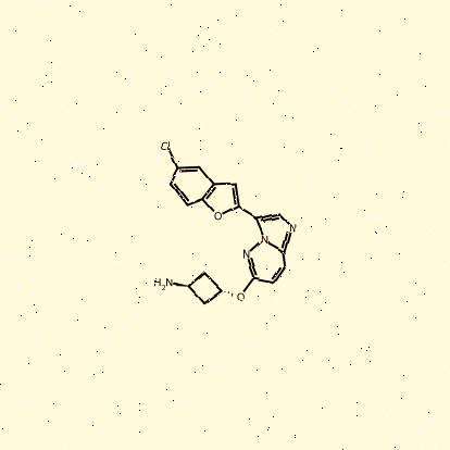 N[C@H]1C[C@H](Oc2ccc3ncc(-c4cc5cc(Cl)ccc5o4)n3n2)C1